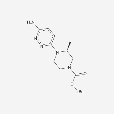 C[C@H]1CN(C(=O)OC(C)(C)C)CCN1c1ccc(N)nn1